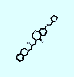 O=C1c2ccc(OCC3CCCO3)cc2OCCN1C[C@H](O)CN1CCc2ccccc2C1